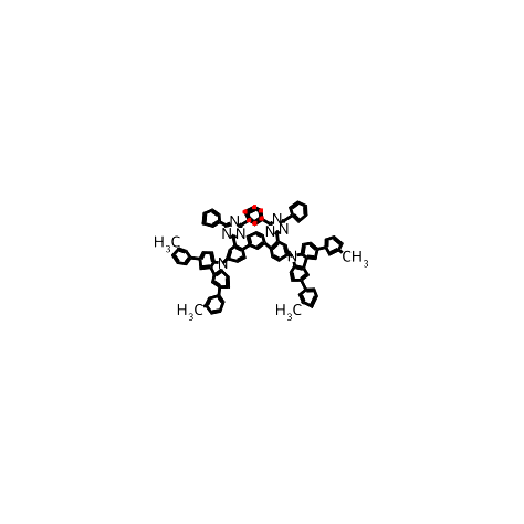 Cc1cccc(-c2ccc3c(c2)c2cc(-c4cccc(C)c4)ccc2n3-c2ccc(-c3cccc(-c4ccc(-n5c6ccc(-c7cccc(C)c7)cc6c6cc(-c7cccc(C)c7)ccc65)cc4-c4nc(-c5ccccc5)nc(-c5ccccc5)n4)c3)c(-c3nc(-c4ccccc4)nc(-c4ccccc4)n3)c2)c1